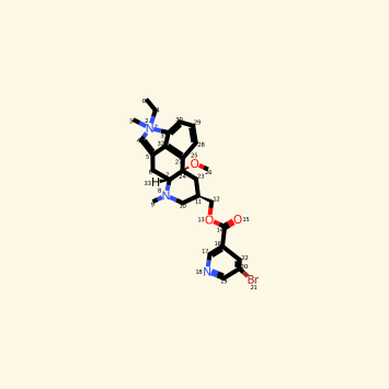 CC[N+]1(C)C=C2C[C@H]3N(C)C[C@H](COC(=O)c4cncc(Br)c4)C[C@]3(OC)c3cccc1c32